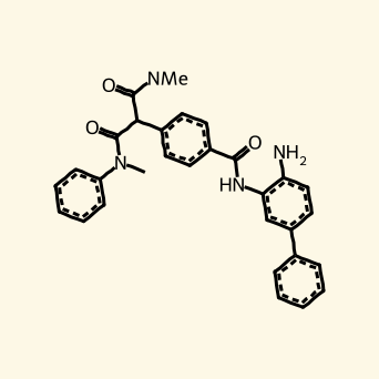 CNC(=O)C(C(=O)N(C)c1ccccc1)c1ccc(C(=O)Nc2cc(-c3ccccc3)ccc2N)cc1